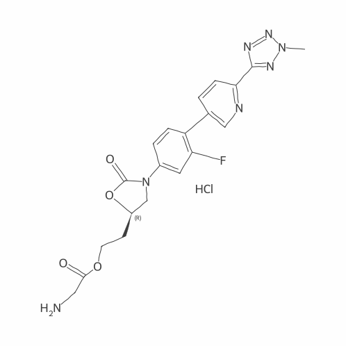 Cl.Cn1nnc(-c2ccc(-c3ccc(N4C[C@@H](CCOC(=O)CN)OC4=O)cc3F)cn2)n1